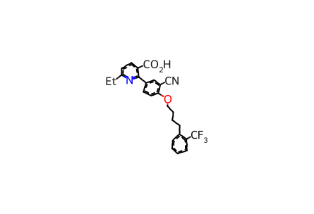 CCc1ccc(C(=O)O)c(-c2ccc(OCCCCc3ccccc3C(F)(F)F)c(C#N)c2)n1